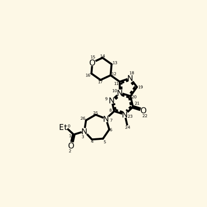 CCC(=O)N1CCCN(c2nn3c(C4CCOCC4)ncc3c(=O)n2C)CC1